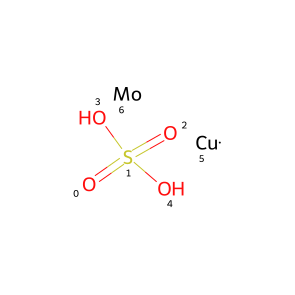 O=S(=O)(O)O.[Cu].[Mo]